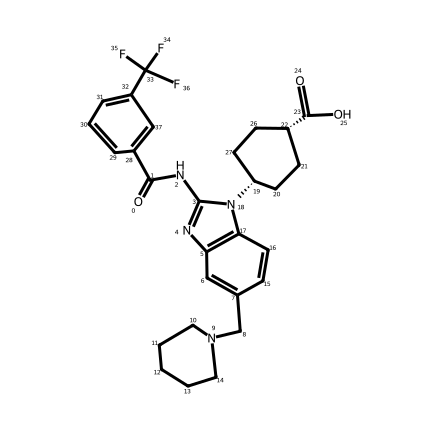 O=C(Nc1nc2cc(CN3CCCCC3)ccc2n1[C@H]1CC[C@@H](C(=O)O)CC1)c1cccc(C(F)(F)F)c1